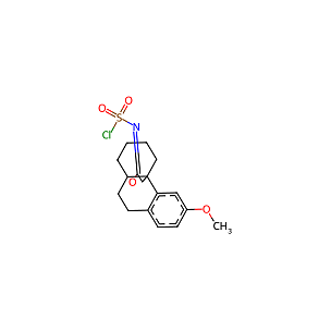 COc1ccc2c(c1)C13CCCCC1(CC2)O/C(=N\S(=O)(=O)Cl)C3